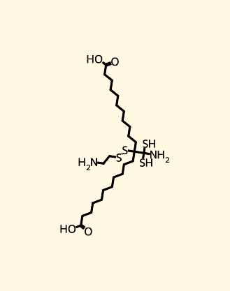 NCCSSC(CCCCCCCCCCC(=O)O)(CCCCCCCCCCC(=O)O)C(N)(S)S